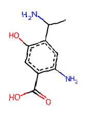 CC(N)c1cc(N)c(C(=O)O)cc1O